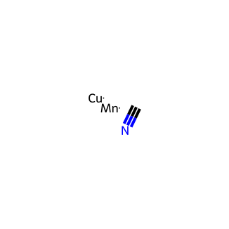 C#N.[Cu].[Mn]